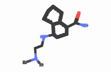 CCN(CC)CCNc1ccc(C([NH])=O)c2ccccc12